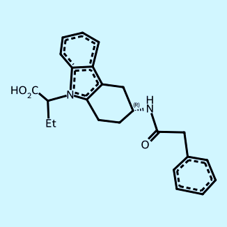 CCC(C(=O)O)n1c2c(c3ccccc31)C[C@H](NC(=O)Cc1ccccc1)CC2